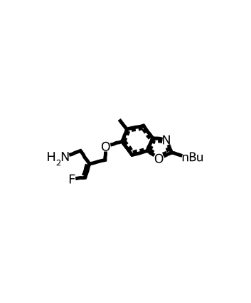 CCCCc1nc2cc(C)c(OC/C(=C/F)CN)cc2o1